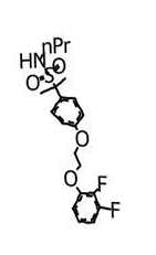 CCCNS(=O)(=O)C(C)(C)c1ccc(OCCOc2cccc(F)c2F)cc1